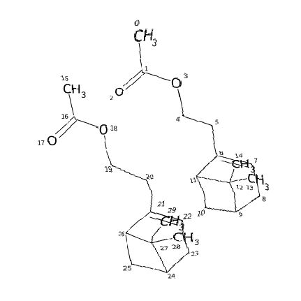 CC(=O)OCCC1=CCC2CC1C2(C)C.CC(=O)OCCC1=CCC2CC1C2(C)C